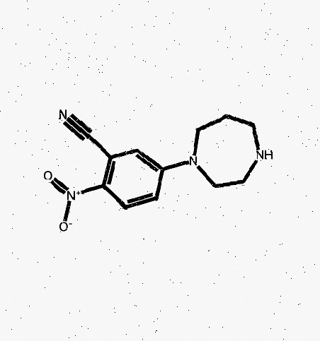 N#Cc1cc(N2CCCNCC2)ccc1[N+](=O)[O-]